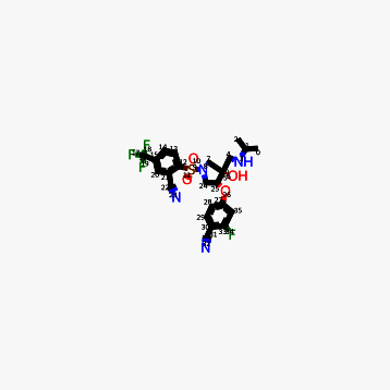 CC(C)NC[C@]1(O)CN(S(=O)(=O)c2ccc(C(F)(F)F)cc2C#N)CC1Oc1ccc(C#N)c(F)c1